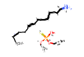 CCCCCCCC/C=C\CCCCCCCCN.CCCCOP(O)(=S)OCCCC